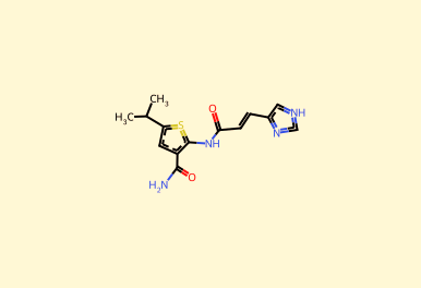 CC(C)c1cc(C(N)=O)c(NC(=O)C=Cc2c[nH]cn2)s1